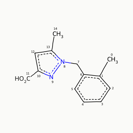 Cc1ccccc1Cn1nc(C(=O)O)cc1C